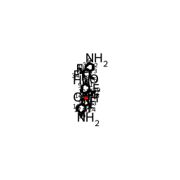 Nc1ccc(C(=O)Nc2ccc(NC(=O)c3ccc(N)cc3C(F)(F)F)c(C(F)(F)F)c2)c(C(F)(F)F)c1